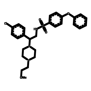 COCCN1CCN(C(CNS(=O)(=O)c2ccc(Oc3ccccc3)cc2)c2ccc(Cl)cc2)CC1